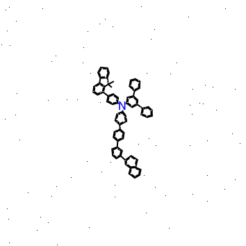 CC1(C)c2ccccc2-c2cccc(-c3ccc(N(c4ccc(-c5ccc(-c6cccc(-c7ccc8ccccc8c7)c6)cc5)cc4)c4cc(-c5ccccc5)cc(-c5ccccc5)c4)cc3)c21